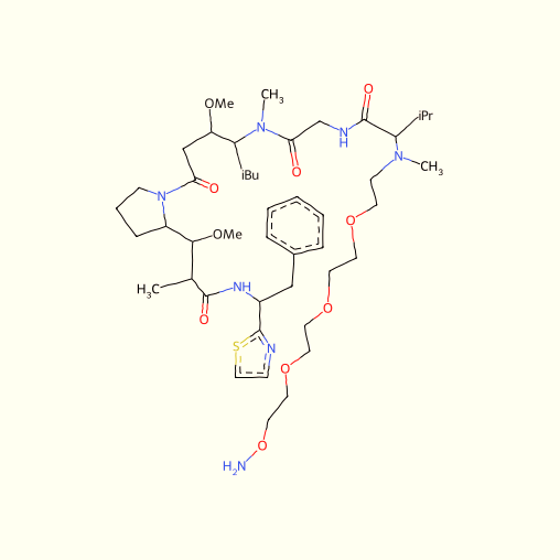 CCC(C)C(C(CC(=O)N1CCCC1C(OC)C(C)C(=O)NC(Cc1ccccc1)c1nccs1)OC)N(C)C(=O)CNC(=O)C(C(C)C)N(C)CCOCCOCCOCCON